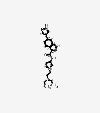 CCN(CC)CCn1cc(NC(=O)c2n[nH]c3cc(-c4cn[nH]c4)ccc23)cn1